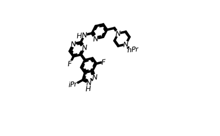 CCCN1CCN(Cc2ccc(Nc3ncc(F)c(-c4cc(F)c5n[nH]c(C(C)C)c5c4)n3)nc2)CC1